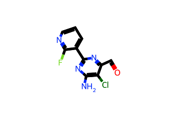 Nc1nc(-c2cccnc2F)nc(C=O)c1Cl